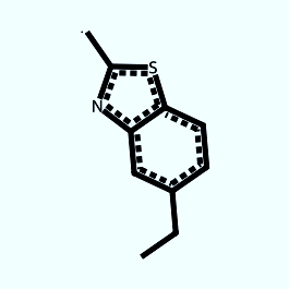 [CH2]c1nc2cc(CC)ccc2s1